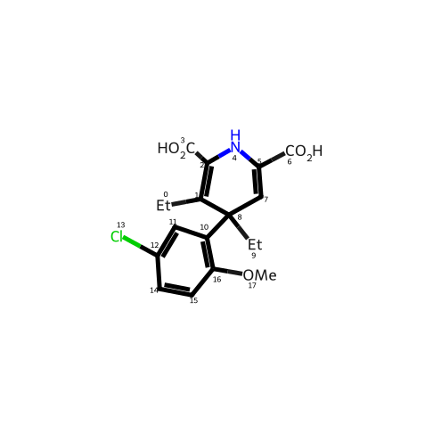 CCC1=C(C(=O)O)NC(C(=O)O)=CC1(CC)c1cc(Cl)ccc1OC